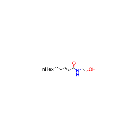 CCCCCCCCC=CC(=O)NCCO